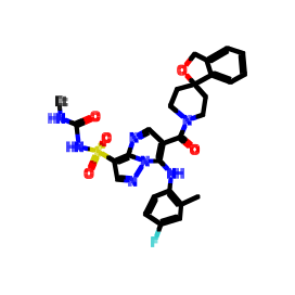 CCNC(=O)NS(=O)(=O)c1cnn2c(Nc3ccc(F)cc3C)c(C(=O)N3CCC4(CC3)OCc3ccccc34)cnc12